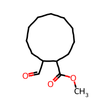 COC(=O)C1CCCCCCCCCC1C=O